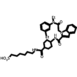 CCc1cccc(N(CC)C(=O)Cn2c(C(=O)NC3CCC(C(=O)NCCCCCCS(=O)(=O)O)CC3)cc3ccccc32)c1